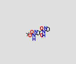 COc1cc(NC(=O)OC(C)(C)C)ncc1C(=O)Nc1ccccn1